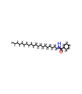 CCCCCCCCCCCCCCCCCCCCNC(=O)C1CCCCC1